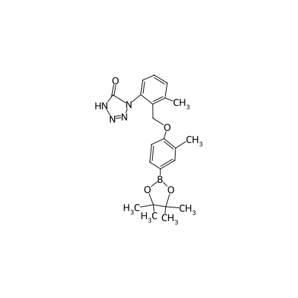 Cc1cc(B2OC(C)(C)C(C)(C)O2)ccc1OCc1c(C)cccc1-n1nn[nH]c1=O